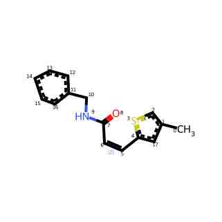 Cc1csc(/C=C\C(=O)NCc2ccccc2)c1